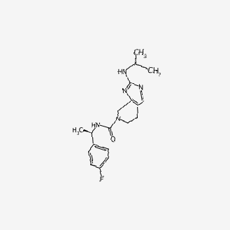 CC(C)Nc1ncc2c(n1)CN(C(=O)N[C@H](C)c1ccc(F)cc1)CC2